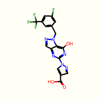 O=C(O)c1cnn(-c2nc(O)c3c(cnn3Cc3cc(F)cc(C(F)(F)F)c3)n2)c1